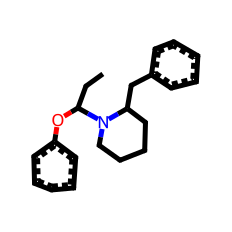 CCC(Oc1ccccc1)N1CCCCC1Cc1ccccc1